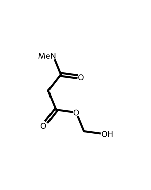 CNC(=O)CC(=O)OCO